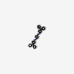 C1=CCCC(N(c2ccccc2)c2ccc(/C=C/C3=CC=C(/C=C/c4ccc(N(c5ccccc5)c5ccccc5)cc4)CC3)cc2)=C1